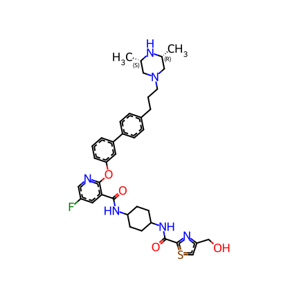 C[C@@H]1CN(CCCc2ccc(-c3cccc(Oc4ncc(F)cc4C(=O)NC4CCC(NC(=O)c5nc(CO)cs5)CC4)c3)cc2)C[C@H](C)N1